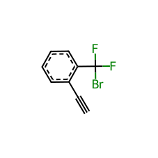 C#Cc1ccccc1C(F)(F)Br